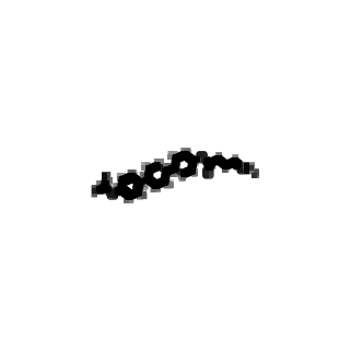 C=CCCC(=O)O[C@H]1CC[C@H]([C@H]2CC[C@H](c3ccc(OC(F)F)cc3)CC2)CC1